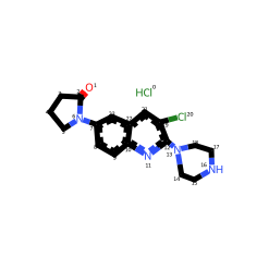 Cl.O=C1CCCN1c1ccc2nc(N3CCNCC3)c(Cl)cc2c1